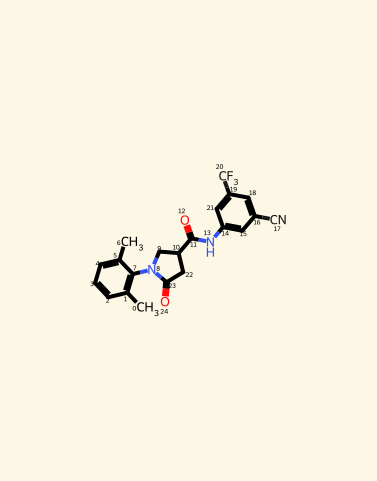 Cc1cccc(C)c1N1CC(C(=O)Nc2cc(C#N)cc(C(F)(F)F)c2)CC1=O